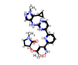 C/C(=C\C(=N/O)c1cccc(-c2ccnc(Nc3cnn(C)c3C3CC3)n2)n1)O[C@H]1CCN(C)C1=O